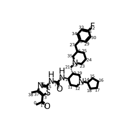 CC(=O)c1sc(NC(=O)N[C@@H]2CCN(C3CCCC3)C[C@H]2CN2CCCC(Cc3ccc(F)cc3)C2)nc1C